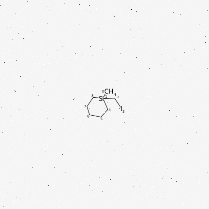 C[Si]1(CI)CCCCC1